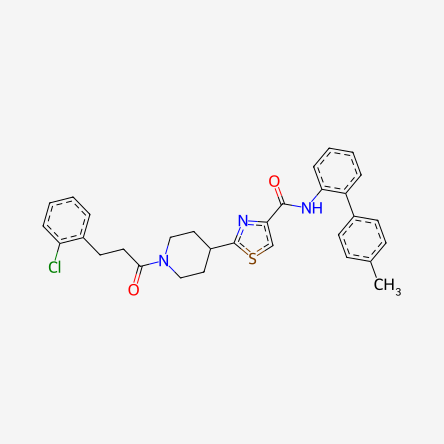 Cc1ccc(-c2ccccc2NC(=O)c2csc(C3CCN(C(=O)CCc4ccccc4Cl)CC3)n2)cc1